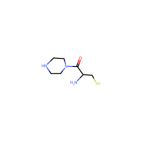 NC(CS)C(=O)N1CCNCC1